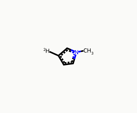 [2H]c1ccn(C)c1